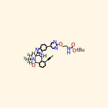 [2H]C([2H])([2H])N1C(=O)c2cccc(C#CC)c2[C@H]2C[C@@H]1c1nc3ccc(-c4cnc(OCCNC(=O)OC(C)(C)C)nc4)cc3n12